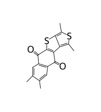 Cc1cc2c(cc1C)C(=O)c1c(sc3c(C)sc(C)c13)C2=O